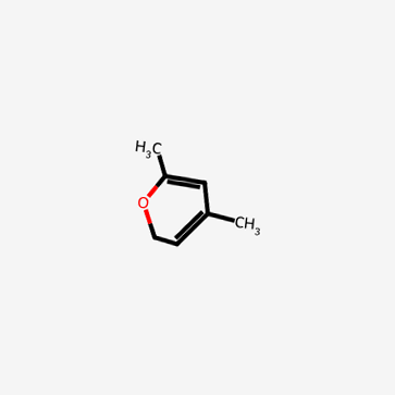 CC1=CCOC(C)=C1